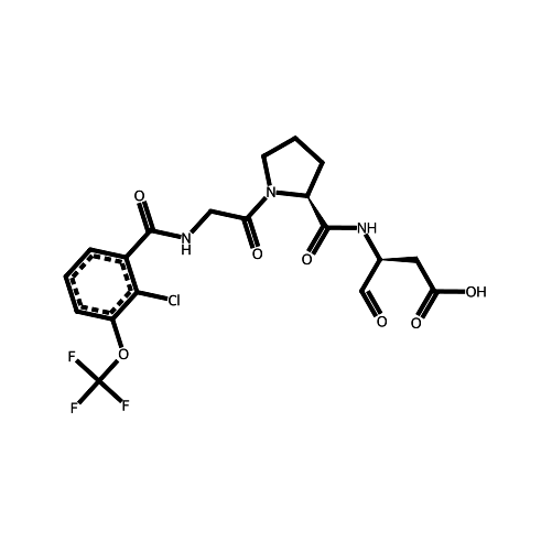 O=C[C@H](CC(=O)O)NC(=O)[C@@H]1CCCN1C(=O)CNC(=O)c1cccc(OC(F)(F)F)c1Cl